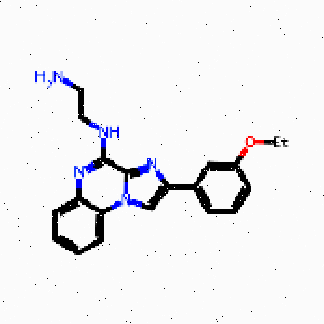 CCOc1cccc(-c2cn3c(n2)c(NCCN)nc2ccccc23)c1